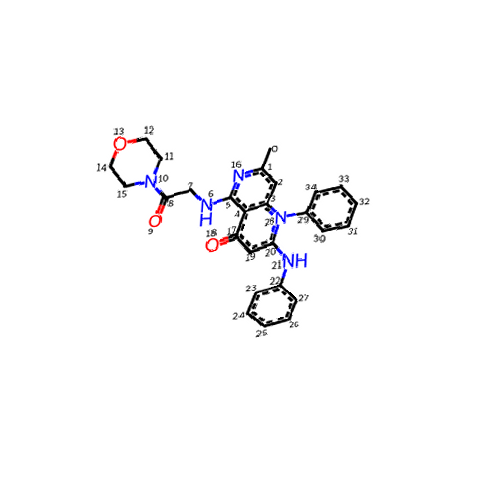 Cc1cc2c(c(NCC(=O)N3CCOCC3)n1)c(=O)cc(Nc1ccccc1)n2-c1ccccc1